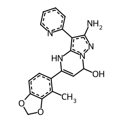 Cc1c(C2=CC(O)n3nc(N)c(-c4ccccn4)c3N2)ccc2c1OCO2